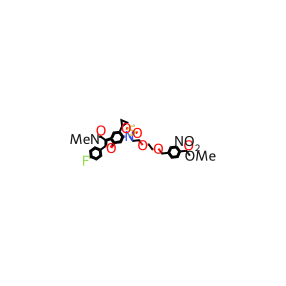 CNC(=O)c1c(-c2ccc(F)cc2)oc2cc(N(CCOCCOCc3ccc(C(=O)OC)c([N+](=O)[O-])c3)S(C)(=O)=O)c(C3CC3)cc12